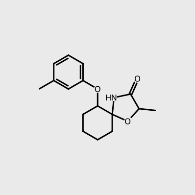 Cc1cccc(OC2CCCCC23NC(=O)C(C)O3)c1